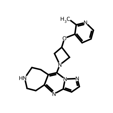 Cc1ncccc1OC1CN(c2c3c(nc4ccnn24)CCNCC3)C1